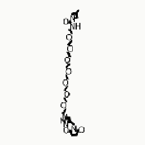 CC1CN(C(=O)NCCOCCOCCOCCOCCOCCOCCOCCn2cc(CN3C(=O)C=CC3=O)nn2)C1